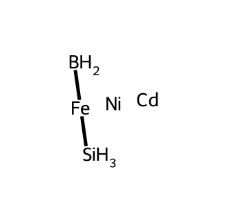 [BH2][Fe][SiH3].[Cd].[Ni]